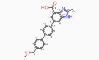 COCc1ccc(-c2ccc(-c3cc(C(=O)O)c4nc(C)[nH]c4c3)cc2)cc1